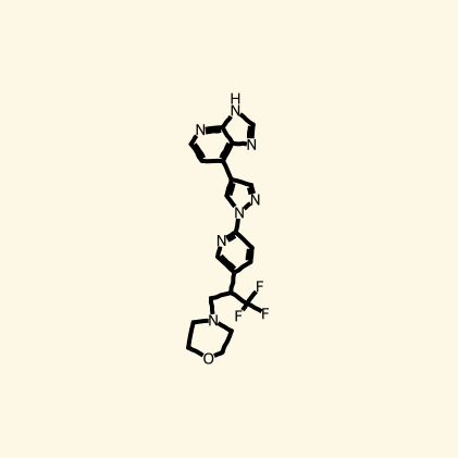 FC(F)(F)C(CN1CCOCC1)c1ccc(-n2cc(-c3ccnc4[nH]cnc34)cn2)nc1